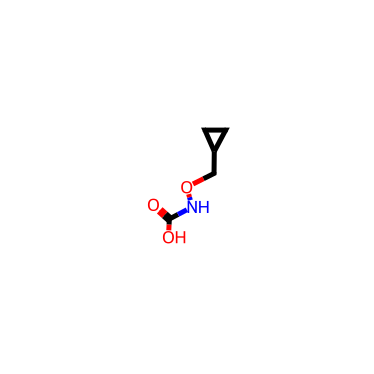 O=C(O)NOCC1CC1